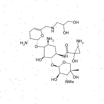 CN[C@@H]1[C@@H](O)[C@@H](O[C@H]2[C@H](NC(=O)C3(O)CC3N)C[C@H](N)C(O[C@H]3OC(CNCC(O)CO)=CC[C@H]3N)[C@@H]2O)OC[C@]1(C)O